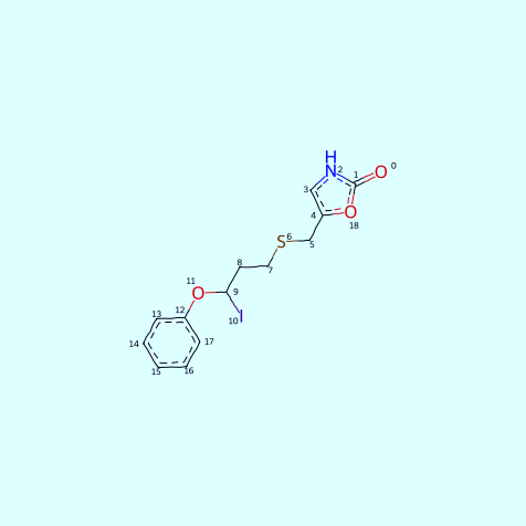 O=c1[nH]cc(CSCCC(I)Oc2ccccc2)o1